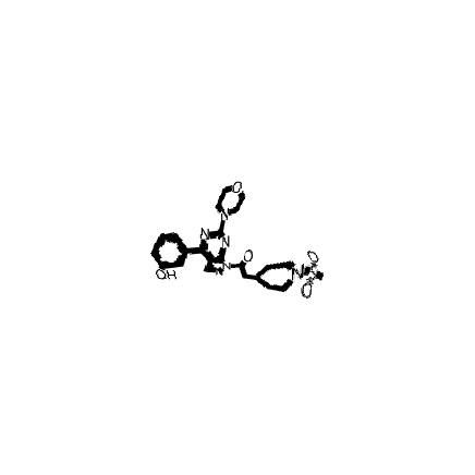 CS(=O)(=O)N1CCC(CC(=O)n2ncc3c(-c4cccc(O)c4)nc(N4CCOCC4)nc32)CC1